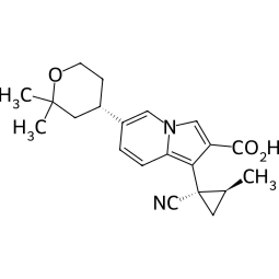 C[C@H]1C[C@@]1(C#N)c1c(C(=O)O)cn2cc([C@H]3CCOC(C)(C)C3)ccc12